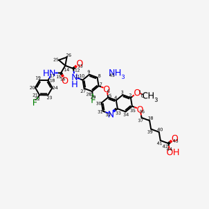 COc1cc2c(Oc3ccc(NC(=O)C4(C(=O)Nc5ccc(F)cc5)CC4)cc3F)ccnc2cc1OCCCCCC(=O)O.N